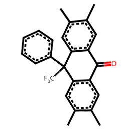 Cc1cc2c(cc1C)C(c1ccccc1)(C(F)(F)F)c1cc(C)c(C)cc1C2=O